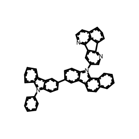 c1ccc(-n2c3ccccc3c3cc(-c4ccc5c(c4)c4ccc6ccccc6c4n5-c4cnc5c(c4)-c4nccc6cccc-5c46)ccc32)cc1